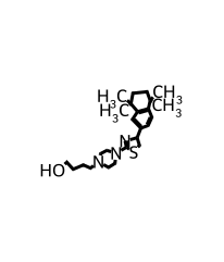 CC1(C)CCC(C)(C)c2cc(C3CSC(N4CCN(CCCCO)CC4)=N3)ccc21